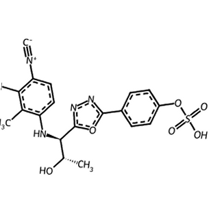 [C-]#[N+]c1ccc(N[C@@H](c2nnc(-c3ccc(OS(=O)(=O)O)cc3)o2)[C@H](C)O)c(C)c1Cl